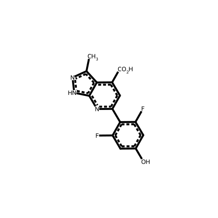 Cc1n[nH]c2nc(-c3c(F)cc(O)cc3F)cc(C(=O)O)c12